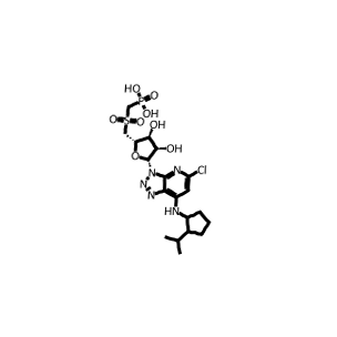 CC(C)C1CCCC1Nc1cc(Cl)nc2c1nnn2[C@@H]1O[C@H](CS(=O)(=O)CP(=O)(O)O)[C@@H](O)[C@H]1O